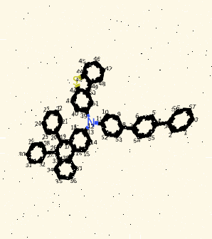 c1ccc(-c2ccc(-c3ccc(N(c4ccc5c(c4)c(-c4ccccc4)c(-c4ccccc4)c4ccccc45)c4ccc5sc6ccccc6c5c4)cc3)cc2)cc1